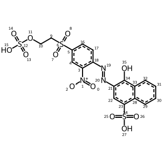 O=[N+]([O-])c1cc(S(=O)(=O)CCOS(=O)(=O)O)ccc1N=Nc1cc(S(=O)(=O)O)c2ccccc2c1O